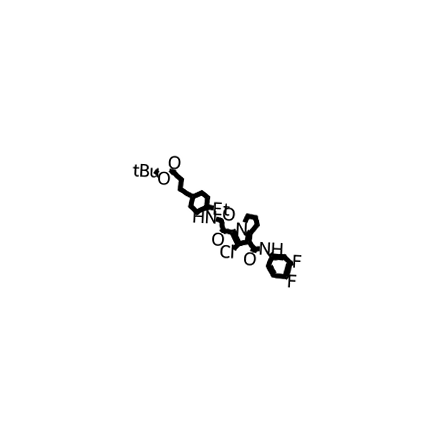 CCC1(NC(=O)C(=O)c2c(Cl)c(C(=O)Nc3ccc(F)c(F)c3)c3n2CCC3)CCC(CCC(=O)OC(C)(C)C)CC1